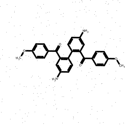 COc1ccc(C(=O)c2cc(N)ccc2-c2ccc(N)cc2C(=O)c2ccc(OC)cc2)cc1